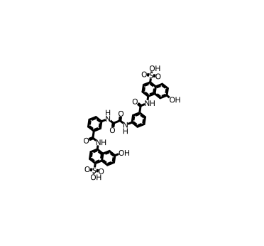 O=C(Nc1cccc(C(=O)Nc2ccc(S(=O)(=O)O)c3ccc(O)cc23)c1)C(=O)Nc1cccc(C(=O)Nc2ccc(S(=O)(=O)O)c3ccc(O)cc23)c1